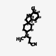 CN(CCC#N)C1CCC(CN)(C2C=CC=C(Cl)C2)CC1